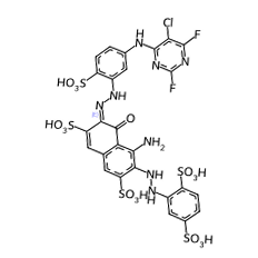 Nc1c(NNc2cc(S(=O)(=O)O)ccc2S(=O)(=O)O)c(S(=O)(=O)O)cc2c1C(=O)/C(=N\Nc1cc(Nc3nc(F)nc(F)c3Cl)ccc1S(=O)(=O)O)C(S(=O)(=O)O)=C2